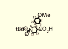 COc1ccc([C@H]2CN(C(=O)OC(C)(C)C)CC[C@@H]2C(=O)O)cc1